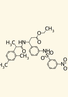 CCOC(=O)CC(NC(=O)C(C)c1ccc(C)cc1C)c1cccc(NS(=O)(=O)c2cccc([N+](=O)[O-])c2)c1